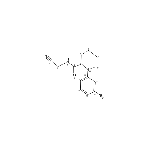 N#CCNC(=O)C1CCCCN1c1cccc(Br)c1